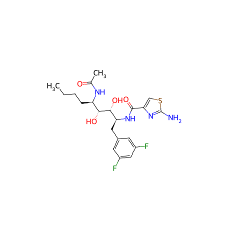 CCCC[C@@H](NC(C)=O)[C@@H](O)[C@H](O)[C@H](Cc1cc(F)cc(F)c1)NC(=O)c1csc(N)n1